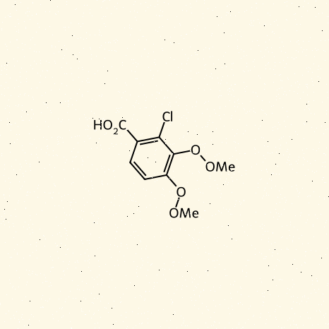 COOc1ccc(C(=O)O)c(Cl)c1OOC